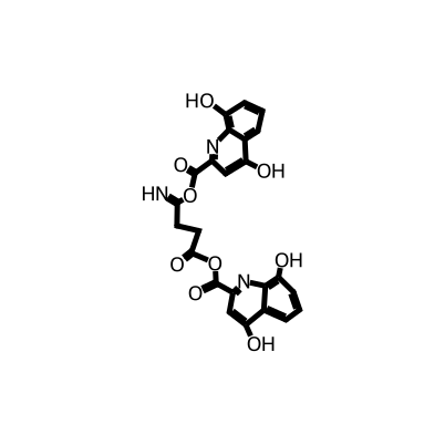 N=C(CCC(=O)OC(=O)c1cc(O)c2cccc(O)c2n1)OC(=O)c1cc(O)c2cccc(O)c2n1